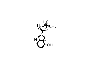 CC(C)(C)OC(=O)N1C[C@H]2CCC[C@@H](O)[C@H]2C1